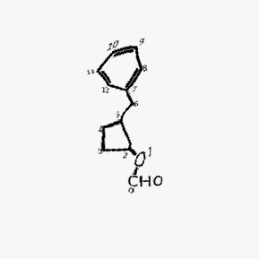 O=COC1CCC1Cc1ccccc1